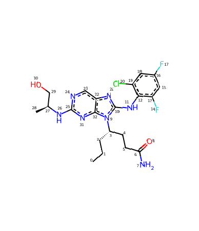 CCC[C@@H](CCC(N)=O)n1c(Nc2c(F)cc(F)cc2Cl)nc2cnc(N[C@@H](C)CO)nc21